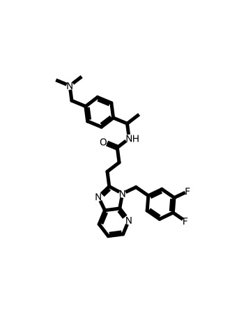 CC(NC(=O)CCc1nc2cccnc2n1Cc1ccc(F)c(F)c1)c1ccc(CN(C)C)cc1